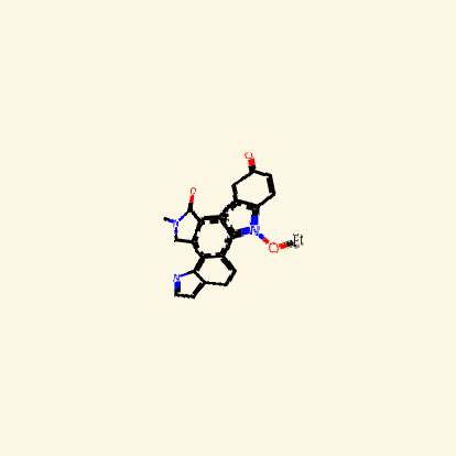 CCOn1c2c(c3c4c(c5c(c31)=CCC1=CC=NC=51)CN(C)C4=O)CC(=O)C=C2